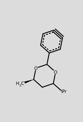 CC(C)C1C[C@@H](C)OC(c2cc#ccc2)O1